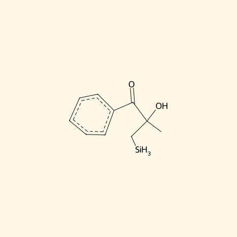 CC(O)(C[SiH3])C(=O)c1ccccc1